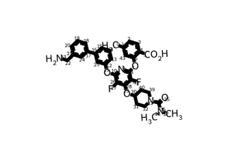 Cc1ccc(C(=O)O)c(Oc2nc(Oc3cccc(-c4cccc(CN)c4)c3)c(F)c(OC3CCN(C(=O)N(C)C)CC3)c2F)c1